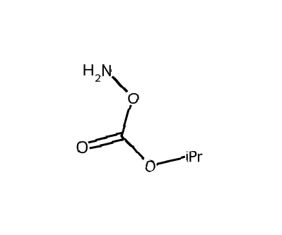 CC(C)OC(=O)ON